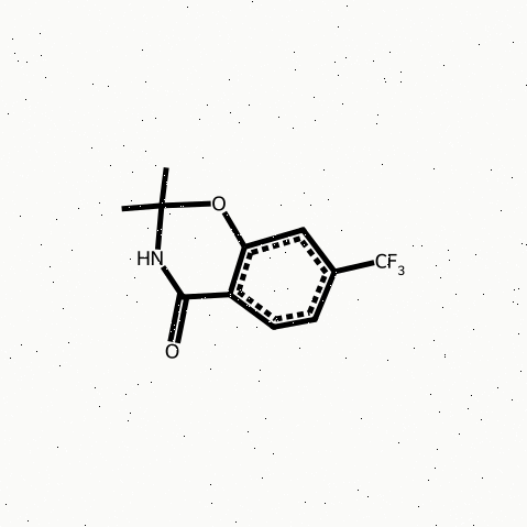 CC1(C)NC(=O)c2ccc(C(F)(F)F)cc2O1